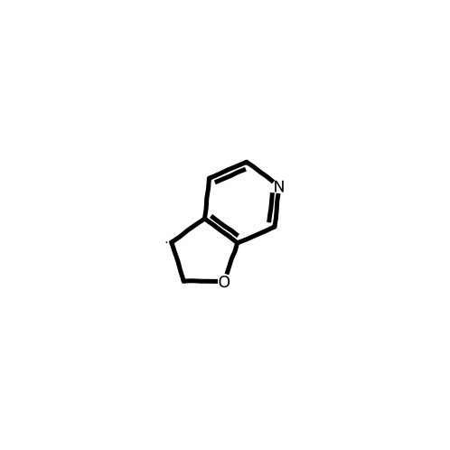 [CH]1COc2cnccc21